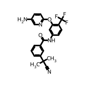 CC(C)(C#N)c1cccc(C(=O)Nc2ccc(C(F)(F)F)c(Oc3ccc(N)cn3)c2)c1